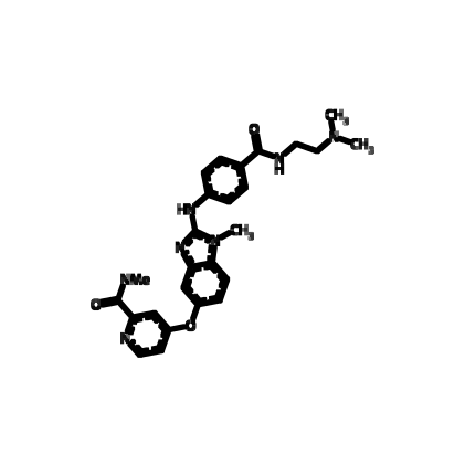 CNC(=O)c1cc(Oc2ccc3c(c2)nc(Nc2ccc(C(=O)NCCN(C)C)cc2)n3C)ccn1